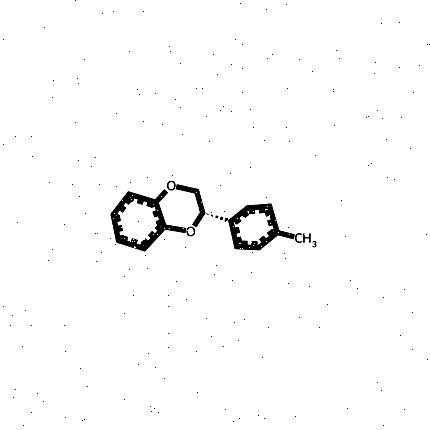 Cc1ccc([C@H]2COc3ccccc3O2)cc1